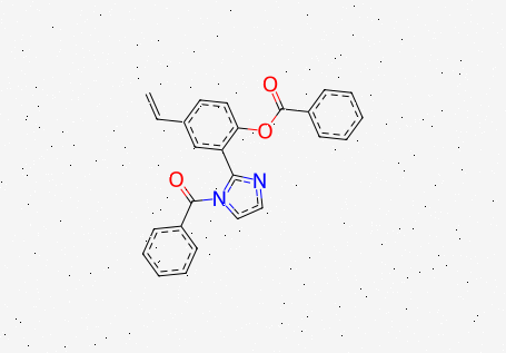 C=Cc1ccc(OC(=O)c2ccccc2)c(-c2nccn2C(=O)c2ccccc2)c1